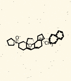 C[C@]12CC=C3C=C4CC[C@@H]([N+]5([O-])CCCC5)C[C@]45CC[C@]3(O5)[C@@H]1CC[C@@H]2c1ccc2ccccc2c1